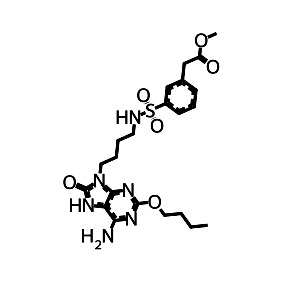 CCCCOc1nc(N)c2[nH]c(=O)n(CCCCNS(=O)(=O)c3cccc(CC(=O)OC)c3)c2n1